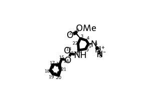 COC(=O)[C@H]1C[C@@H](N=[N+]=[N-])C[C@@H](NC(=O)OCc2ccccc2)C1